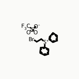 BrCC[S+](c1ccccc1)c1ccccc1.O=S(=O)([O-])C(F)(F)F